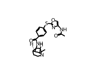 CC(=O)Nc1coc(Sc2ccc(C(=O)N[C@@H]3C4CCN(CC4)[C@H]3C)cc2)n1